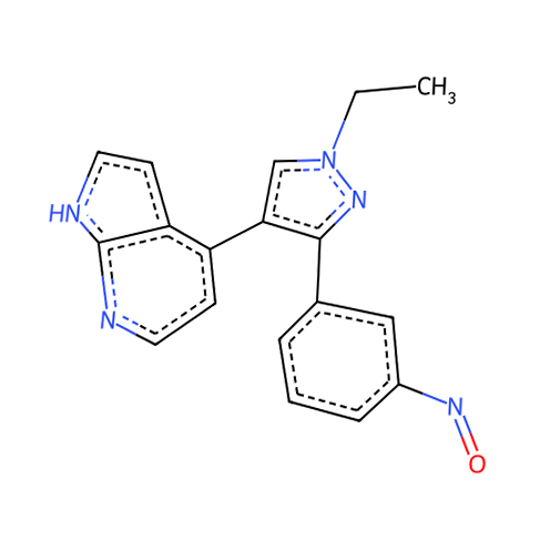 CCn1cc(-c2ccnc3[nH]ccc23)c(-c2cccc(N=O)c2)n1